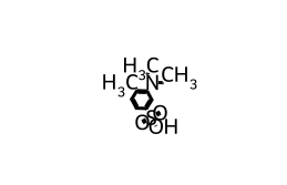 CCN(CC)c1cc(S(=O)(=O)O)ccc1C